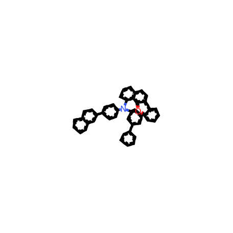 c1ccc(-c2cccc(N(c3ccc(-c4ccc5ccccc5c4)cc3)c3cccc4ccc5c6ccccc6oc5c34)c2)cc1